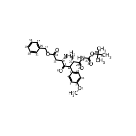 COc1ccc(C(C(=O)[C@@H](N)CC(=O)OCc2ccccc2)[C@H](N)C(=O)NC(=O)OC(C)(C)C)cc1